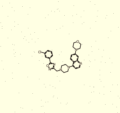 Clc1cccc(-c2nc(CN3CCN(c4ccnc5cc(N6CCOCC6)ccc45)CC3)no2)c1